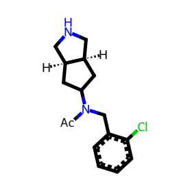 CC(=O)N(Cc1ccccc1Cl)C1C[C@H]2CNC[C@H]2C1